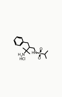 CC(C)S(=O)(=O)NCC(Cc1ccccc1)C(C)(C)N.Cl